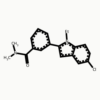 CCn1c(-c2cccc(C(=O)N(C)C)c2)cc2cc(Cl)ccc21